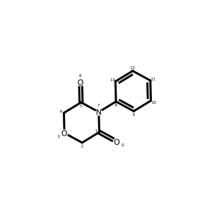 O=C1COCC(=O)N1c1ccccc1